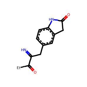 CCC(=O)C(=N)Cc1ccc2c(c1)CC(=O)N2